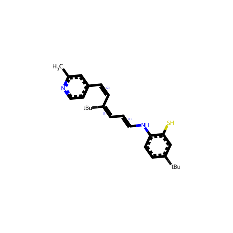 Cc1cc(\C=C/C(=C\C=C\Nc2ccc(C(C)(C)C)cc2S)C(C)(C)C)ccn1